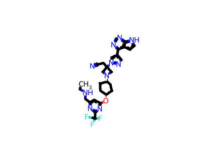 CCNCc1cc(O[C@H]2CC[C@@H](N3CC(CC#N)(n4cc(-c5ncnc6[nH]ccc56)cn4)C3)CC2)nc(C(F)(F)F)n1